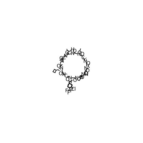 CCC(C)[C@@H]1NC(=O)[C@H](CC(C)C)N(C)C(=O)C[C@@H](C)N(C)C(=O)[C@H](C(C)C)N(C)C(=O)C2(CCCC2)NC(=O)[C@@H]2CCCN2C(=O)[C@H](CCc2ccc(C(F)(F)F)c(Cl)c2)NC(=O)CN(C)C(=O)[C@H](CCC2CCC2)N(C)C(=O)CN(C)C(=O)CN(C)C1=O